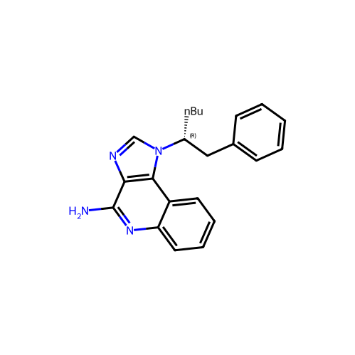 CCCC[C@H](Cc1ccccc1)n1cnc2c(N)nc3ccccc3c21